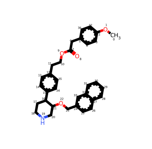 COc1ccc(CC(=O)OCCc2ccc(C3CCNCC3OCc3ccc4ccccc4c3)cc2)cc1